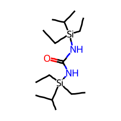 CC[Si](CC)(NC(=O)N[Si](CC)(CC)C(C)C)C(C)C